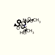 CCOC(=O)Cn1cncc1/C=C1\CN(C(C(=O)C2CC2)c2ccccc2F)CCC1SC(C)=O.Cl